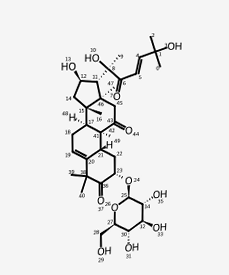 CC(C)(O)/C=C/C(=O)[C@](C)(O)[C@H]1[C@H](O)C[C@@]2(C)[C@@H]3CC=C4[C@@H](C[C@H](O[C@@H]5O[C@H](CO)[C@@H](O)[C@H](O)[C@H]5O)C(=O)C4(C)C)[C@]3(C)C(=O)C[C@]12C